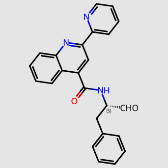 O=C[C@H](Cc1ccccc1)NC(=O)c1cc(-c2ccccn2)nc2ccccc12